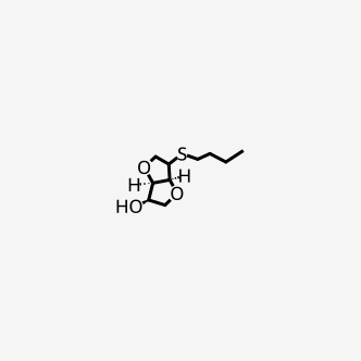 CCCCSC1CO[C@@H]2[C@H](O)CO[C@H]12